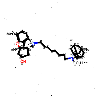 COc1ccc2c3c1O[C@H]1C[C@@H](O)C=C[C@@]31CCN(CCCCCCCCN(C(=O)O)[C@]13C[C@@H]4C[C@@](C)(C[C@@](C)(C4)C1)C3)C2